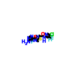 CC(NC(=O)c1ncnc(N)c1F)c1ncc(C(=O)Nc2cc(C(F)(F)F)c(Cl)cn2)s1